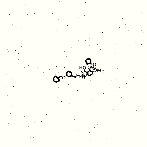 COc1ccc(CC(=S)NCCc2cccc(OCc3ccccc3)c2)c(CO)c1OS(=O)(=O)c1ccccc1